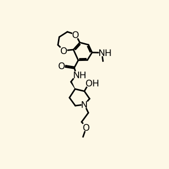 CNc1cc2c(c(C(=O)NC[C@@H]3CCN(CCOC)CC3O)c1)OCCCO2